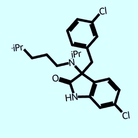 C[C](C)CCCN(C(C)C)C1(Cc2cccc(Cl)c2)C(=O)Nc2cc(Cl)ccc21